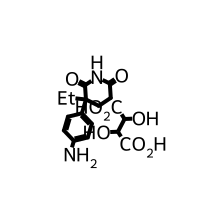 CCC1(c2ccc(N)cc2)CCC(=O)NC1=O.O=C(O)C(O)C(O)C(=O)O